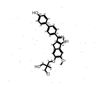 COc1cc2c(cc1OCC(C)(CO)CCl)Cc1c(-c3ccc(-c4ccc(O)cc4)cc3)n[nH]c1-2